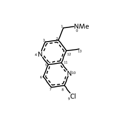 CNCc1cnc2ccc(Cl)nc2c1C